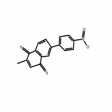 CC1=CC(=O)c2cc(-c3ccc([N+](=O)[O-])cc3)ccc2C1=O